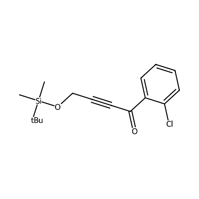 CC(C)(C)[Si](C)(C)OCC#CC(=O)c1ccccc1Cl